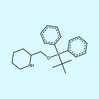 CC(C)(C)[Si](OCC1CCCCN1)(c1ccccc1)c1ccccc1